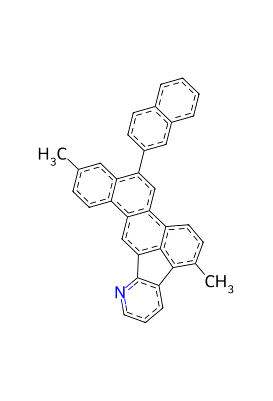 Cc1ccc2c(c1)c(-c1ccc3ccccc3c1)cc1c3ccc(C)c4c3c(cc21)-c1ncccc1-4